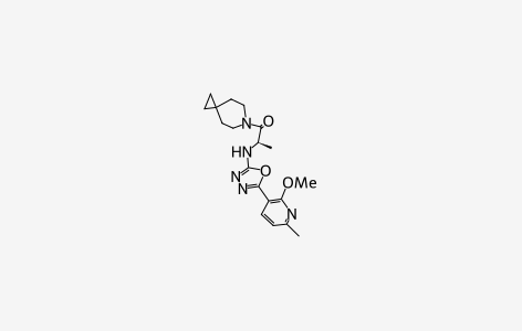 COc1nc(C)ccc1-c1nnc(N[C@H](C)C(=O)N2CCC3(CC2)CC3)o1